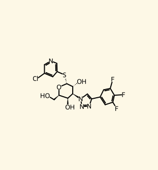 OC[C@H]1O[C@H](Sc2cncc(Cl)c2)[C@H](O)[C@@H](n2cc(-c3cc(F)c(F)c(F)c3)nn2)[C@H]1O